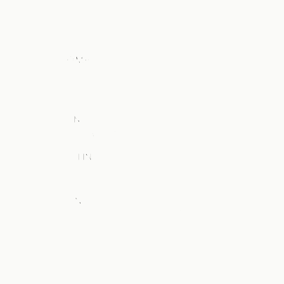 COCCNC(=O)Nc1cc(Sc2ccccc2)ccc1N